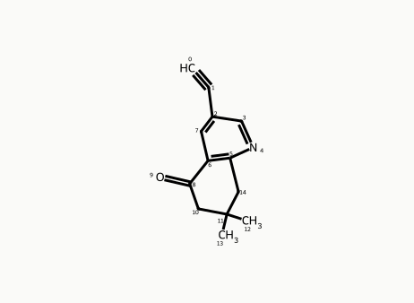 C#Cc1cnc2c(c1)C(=O)CC(C)(C)C2